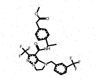 COC(=O)Cc1ccc(C(C)NC(=O)c2c(C(F)(F)F)nn3c2N(Cc2cccc(C(F)(F)F)c2)CC3)cc1